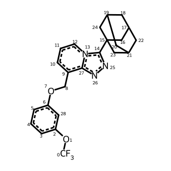 FC(F)(F)Oc1cccc(OCc2cccn3c(C45CC6CC(CC(C6)C4)C5)nnc23)c1